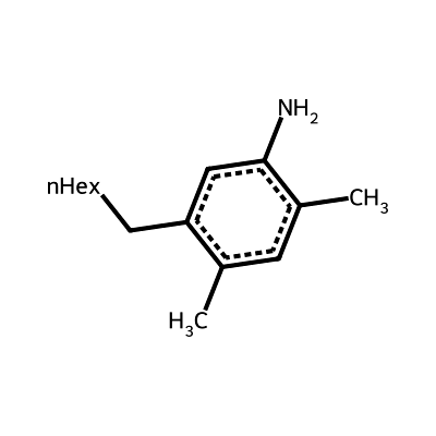 CCCCCCCc1cc(N)c(C)cc1C